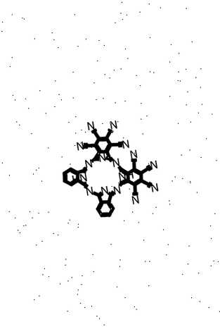 N#Cc1c(C#N)c(C#N)c2c(c1C#N)-c1nc-2nc2[nH]c(nc3nc(nc4[nH]c(n1)c1ccccc41)-c1ccccc1-3)c1c(C#N)c(C#N)c(C#N)c(C#N)c21